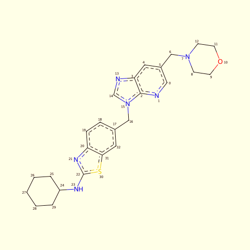 c1nc2c(cc1CN1CCOCC1)ncn2Cc1ccc2nc(NC3CCCCC3)sc2c1